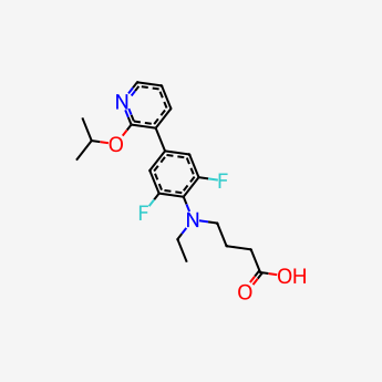 CCN(CCCC(=O)O)c1c(F)cc(-c2cccnc2OC(C)C)cc1F